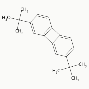 CC(C)(C)c1ccc2c(c1)-c1cc(C(C)(C)C)ccc1-2